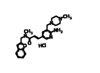 CN1CCN(Cc2cc(/C=C/C(=O)N(C)Cc3cc4ccccc4o3)cnc2N)CC1.Cl